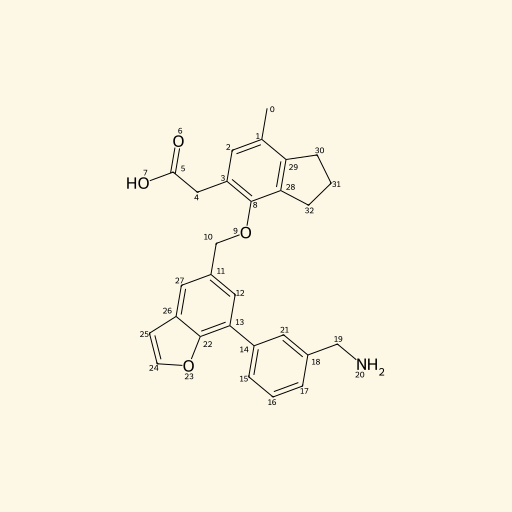 Cc1cc(CC(=O)O)c(OCc2cc(-c3cccc(CN)c3)c3occc3c2)c2c1CCC2